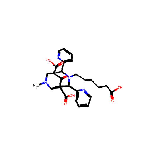 CN1CC2(C(=O)O)C(=O)C(C(=O)O)(C1)C(c1ccccn1)N(CCCCCC(=O)O)C2c1ccccn1